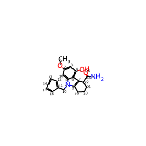 COc1cc(O)c2c3c(n(Cc4ccccc4)c2c1)CCCC3C(N)=O